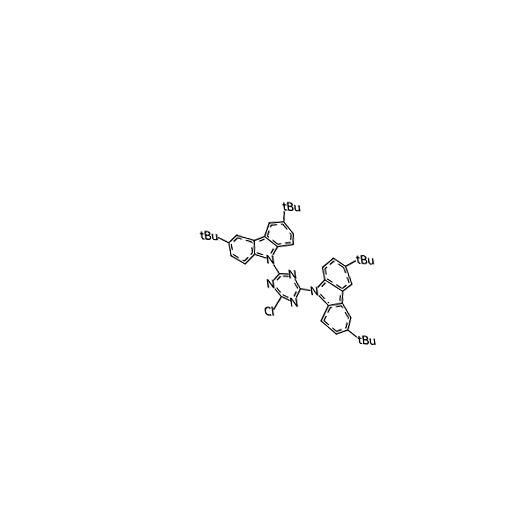 CC(C)(C)c1ccc2c(c1)c1cc(C(C)(C)C)ccc1n2-c1nc(Cl)nc(-n2c3ccc(C(C)(C)C)cc3c3cc(C(C)(C)C)ccc32)n1